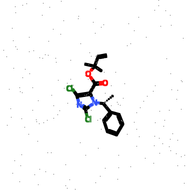 C=CC(C)(C)OC(=O)c1c(Cl)nc(Cl)n1[C@H](C)c1ccccc1